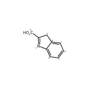 O=C(O)C1=Nc2ccccc2C1